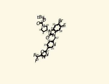 CC(C)(C)OC(=O)N1CC[C@@H](n2c(=O)n(Cc3ccc(-c4nnc(C(F)F)o4)cn3)c3cc(F)c(Br)cc32)C1